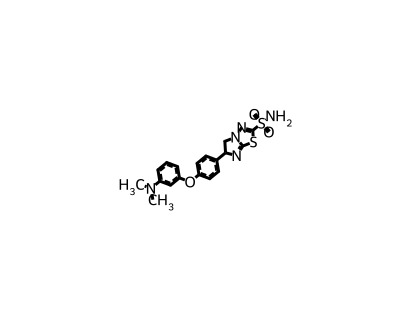 CN(C)c1cccc(Oc2ccc(C3CN4N=C(S(N)(=O)=O)SC4=N3)cc2)c1